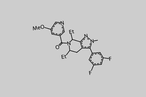 CCC1Cc2c(nn(C)c2-c2cc(F)cc(F)c2)C(CC)N1C(=O)c1cncc(OC)c1